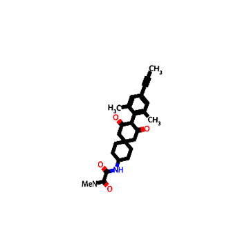 CC#Cc1cc(C)c(C2C(=O)CC3(CCC(NC(=O)C(=O)NC)CC3)CC2=O)c(C)c1